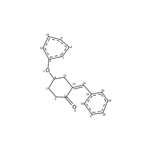 O=C1CCC(Oc2ccccc2)C/C1=C/c1ccccc1